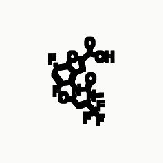 Cn1c(C(F)(F)F)cc(=O)n(-c2c(F)cc(F)c3oc(C(=O)O)cc23)c1=O